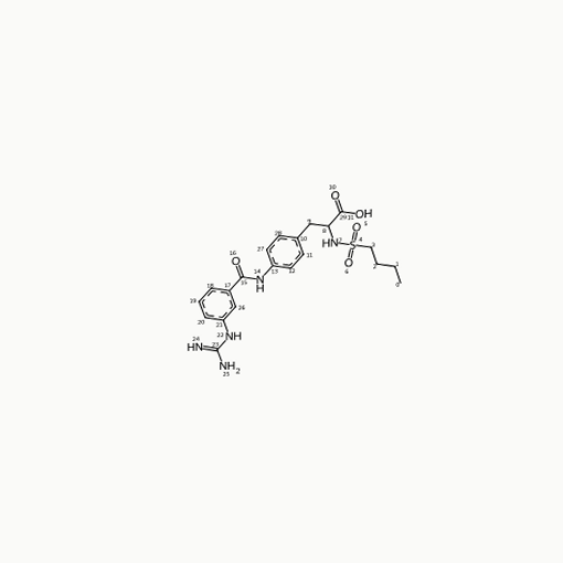 CCCCS(=O)(=O)NC(Cc1ccc(NC(=O)c2cccc(NC(=N)N)c2)cc1)C(=O)O